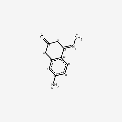 NN=C1CC(=O)Cc2cc(N)ccc21